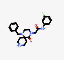 O=C(CN1CCN(Cc2ccccc2)C2(CCNCC2)C1=O)Nc1cccc(F)c1